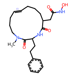 CN1CCC/C=C/CCCC(CC(=O)NO)C(=O)NC(CCc2ccccc2)C1=O